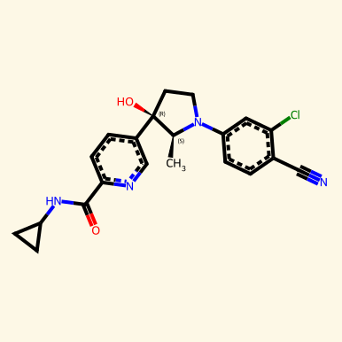 C[C@@H]1N(c2ccc(C#N)c(Cl)c2)CC[C@@]1(O)c1ccc(C(=O)NC2CC2)nc1